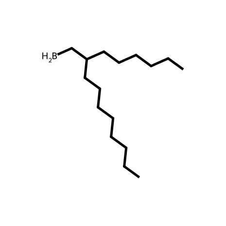 BCC(CCCCCC)CCCCCCCC